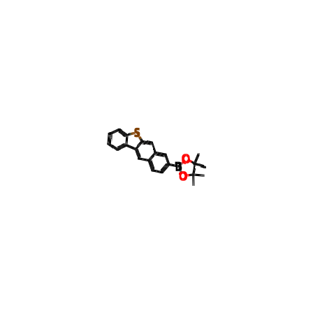 CC1(C)OB(c2ccc3cc4c(cc3c2)sc2ccccc24)OC1(C)C